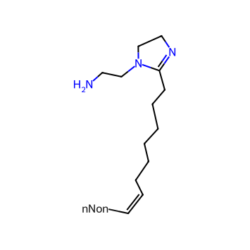 CCCCCCCCC/C=C\CCCCCCC1=NCCN1CCN